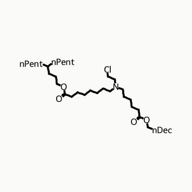 CCCCCCCCCCCOC(=O)CCCCCN(CCCl)CCCCCCCC(=O)OCCCC(CCCCC)CCCCC